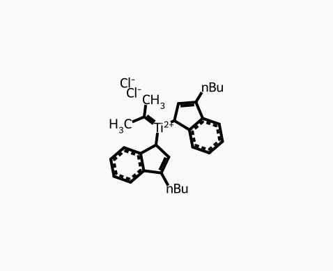 CCCCC1=C[CH]([Ti+2](=[C](C)C)[CH]2C=C(CCCC)c3ccccc32)c2ccccc21.[Cl-].[Cl-]